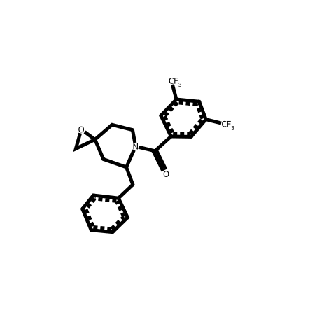 O=C(c1cc(C(F)(F)F)cc(C(F)(F)F)c1)N1CCC2(CO2)CC1Cc1ccccc1